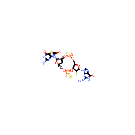 Nc1nc2c(ncn2[C@@H]2OC3COP(=O)(S)O[C@@H]4C[C@@H](COP(=O)(S)OC3[C@H]2F)O[C@H]4n2c(=O)sc3c(=O)[nH]c(N)nc32)c(=O)[nH]1